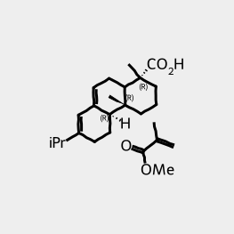 C=C(C)C(=O)OC.CC(C)C1=CC2=CCC3[C@](C)(C(=O)O)CCC[C@]3(C)[C@H]2CC1